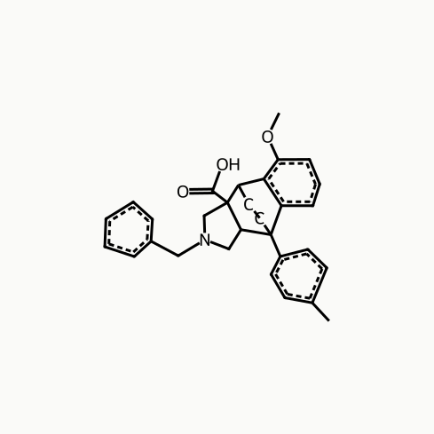 COc1cccc2c1C1CCC2(c2ccc(C)cc2)C2CN(Cc3ccccc3)CC12C(=O)O